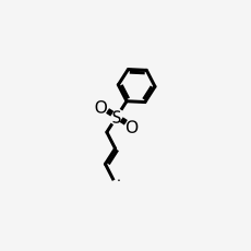 [CH2]C=CCS(=O)(=O)c1ccccc1